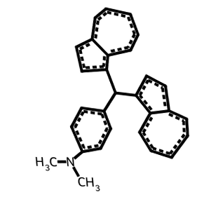 CN(C)c1ccc(C(c2ccc3cccccc2-3)c2ccc3cccccc2-3)cc1